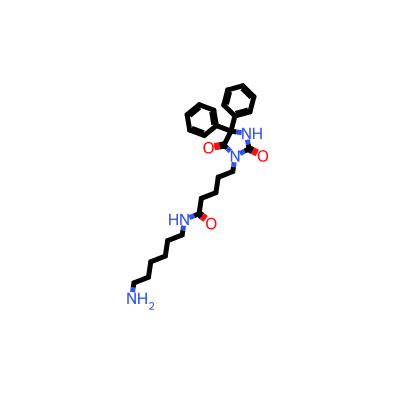 NCCCCCCNC(=O)CCCCN1C(=O)NC(c2ccccc2)(c2ccccc2)C1=O